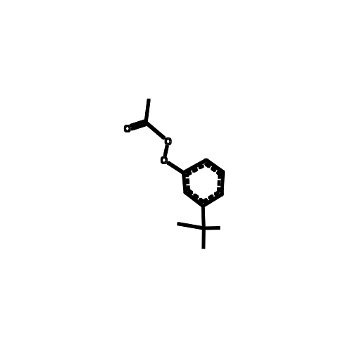 CC(=O)OOc1cccc(C(C)(C)C)c1